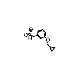 O=[SH](=O)Cc1cccc(OCC2CC2)c1